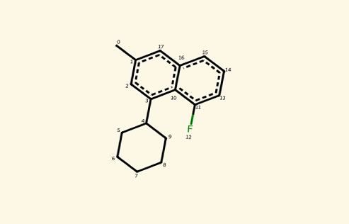 Cc1cc(C2CCCCC2)c2c(F)cccc2c1